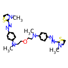 CN(CCOCCN(C)c1ccc(N=Nc2scc[n+]2C)cc1)c1ccc(N=Nc2scc[n+]2C)cc1